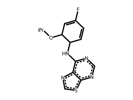 CC(C)OC1C=C(F)C=CC1Nc1ncnc2scnc12